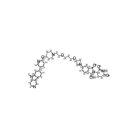 Cn1c2ccncc2c2ccc(-c3ccc(OC4CCN(CCOCCCOC5CN(c6ccc7c(c6)C(=O)N(C6CCC(=O)NC6=O)C7O)C5)CC4)nc3)cc21